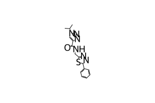 CC(C)n1cc(C(=O)NCc2nnc(-c3ccccc3)s2)nn1